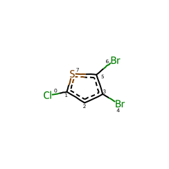 Clc1cc(Br)c(Br)s1